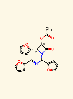 CC(=O)O[C@@H]1C(=O)N(C(N=Cc2ccco2)c2ccco2)[C@@H]1c1ccco1